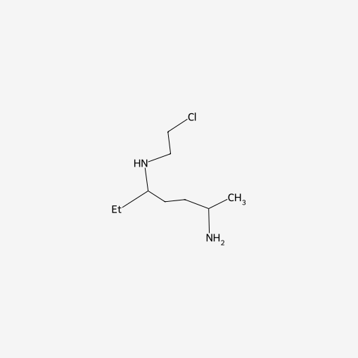 CCC(CCC(C)N)NCCCl